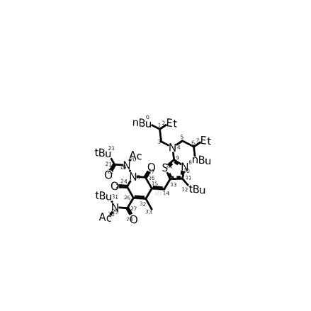 CCCCC(CC)CN(CC(CC)CCCC)c1nc(C(C)(C)C)c(/C=C2\C(=O)N(N(C(C)=O)C(=O)C(C)(C)C)C(=O)C(C(=O)N(C(C)=O)C(C)(C)C)=C2C)s1